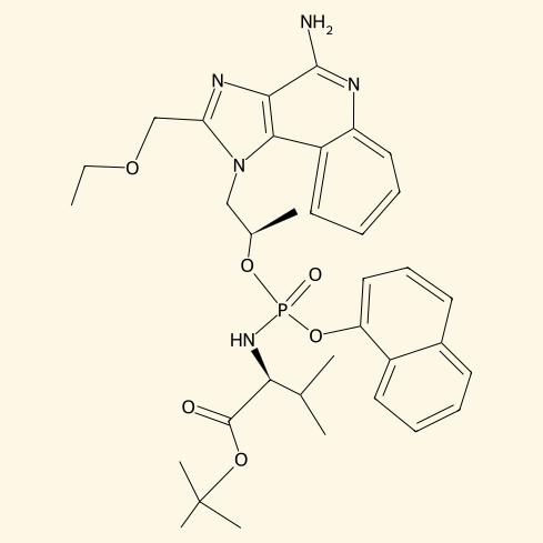 CCOCc1nc2c(N)nc3ccccc3c2n1C[C@@H](C)OP(=O)(N[C@H](C(=O)OC(C)(C)C)C(C)C)Oc1cccc2ccccc12